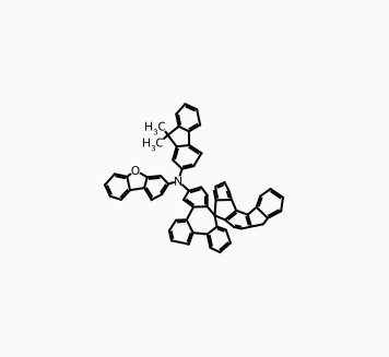 CC1(C)c2ccccc2-c2ccc(N(c3ccc4c(c3)-c3ccccc3-c3ccccc3C43c4ccccc4-c4c3ccc3c4-c4ccccc4C3)c3ccc4c(c3)oc3ccccc34)cc21